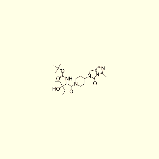 CCC(O)(CC)C(NC(=O)OC(C)(C)C)C(=O)N1CCC(N2Cc3cnc(C)n3C2=O)CC1